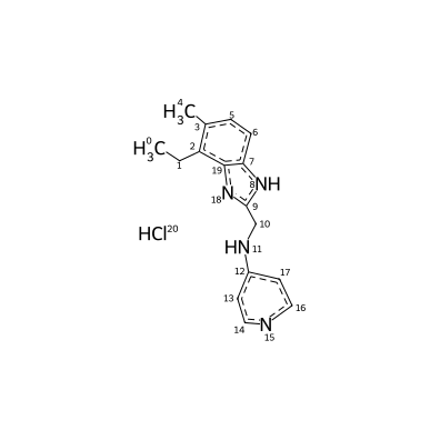 CCc1c(C)ccc2[nH]c(CNc3ccncc3)nc12.Cl